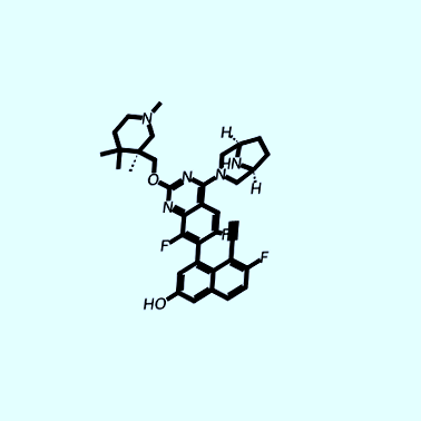 C#Cc1c(F)ccc2cc(O)cc(-c3c(F)cc4c(N5C[C@H]6CC[C@@H](C5)N6)nc(OC[C@]5(C)CN(C)CCC5(C)C)nc4c3F)c12